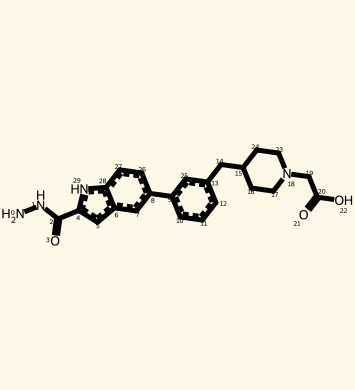 NNC(=O)c1cc2cc(-c3cccc(CC4CCN(CC(=O)O)CC4)c3)ccc2[nH]1